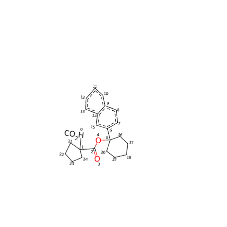 O=C(O)C1(C(=O)OC2(c3ccc4ccccc4c3)CCCCC2)CCCC1